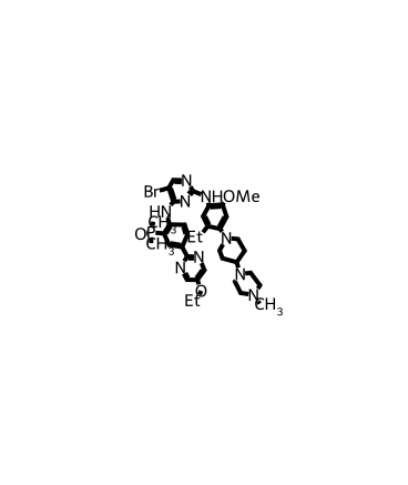 CCOc1cnc(-c2ccc(Nc3nc(Nc4cc(CC)c(N5CCC(N6CCN(C)CC6)CC5)cc4OC)ncc3Br)c(P(C)(C)=O)c2)nc1